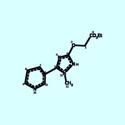 CCOC(=O)COc1nc(-c2cccnc2)n(C)n1